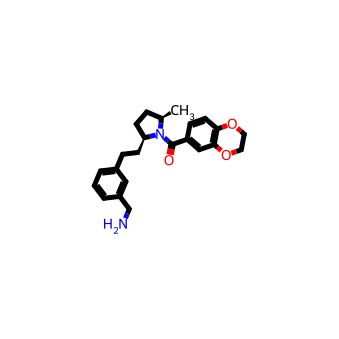 C[C@@H]1CC[C@H](CCc2cccc(CN)c2)N1C(=O)c1ccc2c(c1)OCCO2